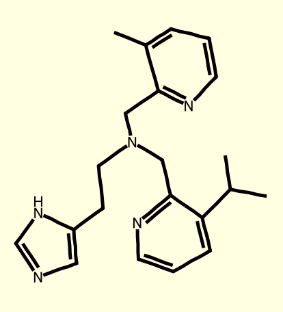 Cc1cccnc1CN(CCc1cnc[nH]1)Cc1ncccc1C(C)C